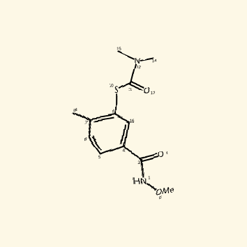 CONC(=O)c1ccc(C)c(SC(=O)N(C)C)c1